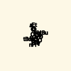 CCCC(C)(C)NC(=O)C1C(C(=O)OC(C)(C)C)C(C(=O)Nc2ccc(C(C)(C)CC)cc2)C1C(=O)OC(C)(C)C